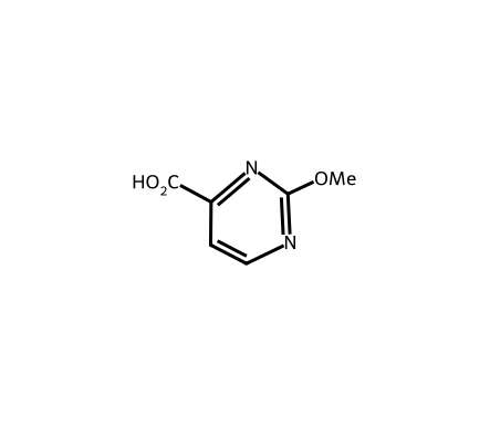 COc1nccc(C(=O)O)n1